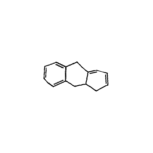 C1=CCC2Cc3ccccc3CC2=C1